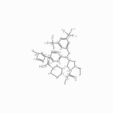 CC[C@@H]1C[C@H](N(Cc2cc(C(F)(F)F)cc(C(F)(F)F)c2)c2ncc(-c3cnn(C)c3)cn2)CN1C(=O)N(C)[C@H]1CC[C@H](C(=O)O)CC1